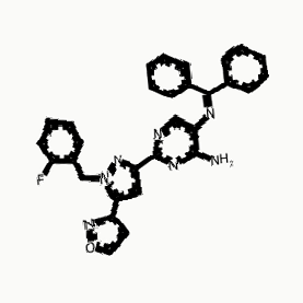 Nc1nc(-c2cc(-c3ccon3)n(Cc3ccccc3F)n2)ncc1N=C(c1ccccc1)c1ccccc1